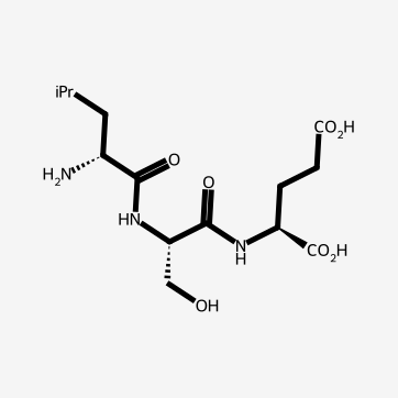 CC(C)C[C@@H](N)C(=O)N[C@@H](CO)C(=O)N[C@@H](CCC(=O)O)C(=O)O